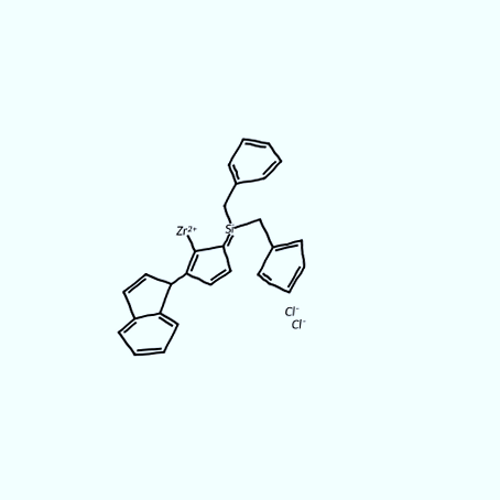 [Cl-].[Cl-].[Zr+2][C]1=C(C2C=Cc3ccccc32)C=CC1=[Si](Cc1ccccc1)Cc1ccccc1